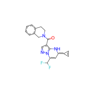 O=C(c1cnn2c1NC(=C1C=C1)C=C2C(F)F)N1CCc2ccccc2C1